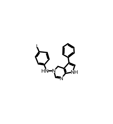 Ic1ccc(NN2C=Nc3[nH]cc(-c4ccccc4)c3C2)cc1